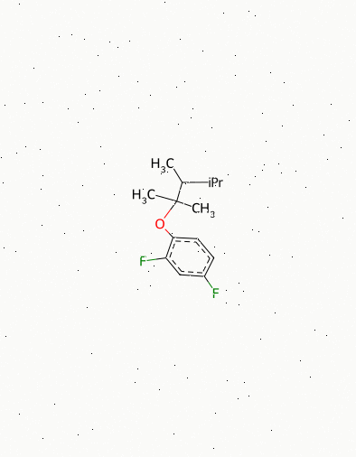 CC(C)C(C)C(C)(C)Oc1ccc(F)cc1F